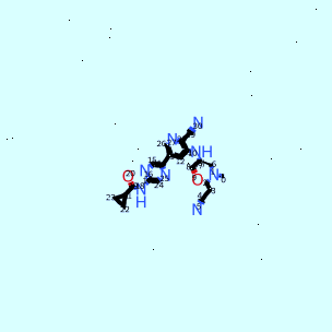 CN(CCC#N)C[C@@H](C=O)Nc1cc(-c2cnc(NC(=O)C3CC3)cn2)cnc1C#N